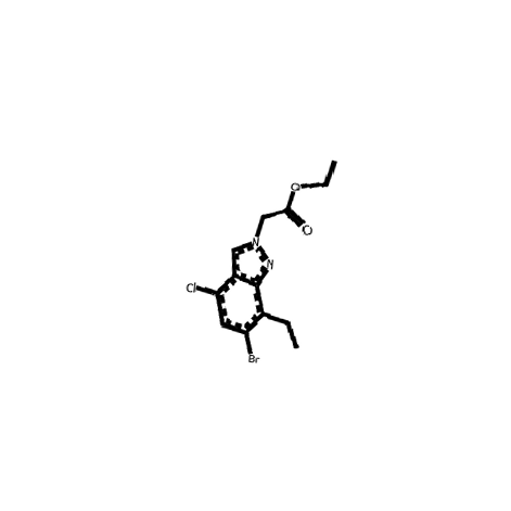 CCOC(=O)Cn1cc2c(Cl)cc(Br)c(CC)c2n1